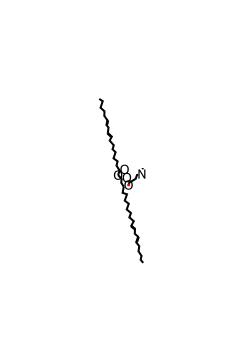 CCCCCC=CCC=CCCCCCCCCC(CCOC(=O)CCCCCCCC=CCC=CCCCCC)OC(=O)CCN(C)C